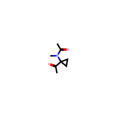 CC(=O)N(C)C1(C(C)=O)CC1